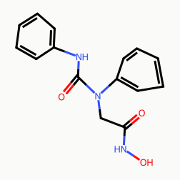 O=C(CN(C(=O)Nc1ccccc1)c1ccccc1)NO